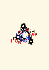 C[C@H]1NC(=O)C(Cc2ccccc2)N(C)C(=O)[C@H](C)[C@H](O)[C@H](Cc2ccccc2)NC(=O)[C@H]1NC(=O)c1ncccc1O